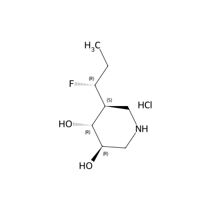 CC[C@@H](F)[C@H]1CNC[C@@H](O)[C@@H]1O.Cl